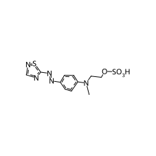 CN(CCOS(=O)(=O)O)c1ccc(/N=N/c2ncns2)cc1